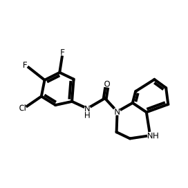 O=C(Nc1cc(F)c(F)c(Cl)c1)N1CCNc2ccccc21